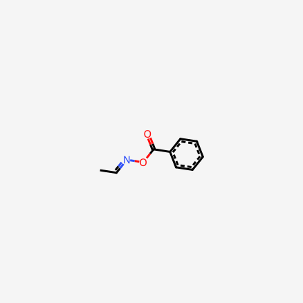 C/C=N/OC(=O)c1ccccc1